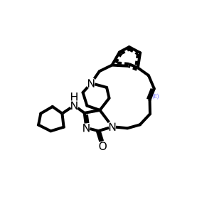 O=C1N=C(NC2CCCCC2)C23CCN(CC2)Cc2cccc(c2)C/C=C/CCCN13